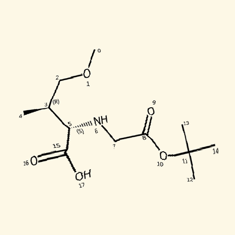 COC[C@H](C)[C@H](NCC(=O)OC(C)(C)C)C(=O)O